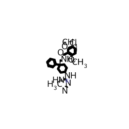 CN/C(=N\C#N)N[C@H]1CC[C@](CNC(=O)c2c(OC)ccc(Cl)c2OC)(c2ccccc2)CC1